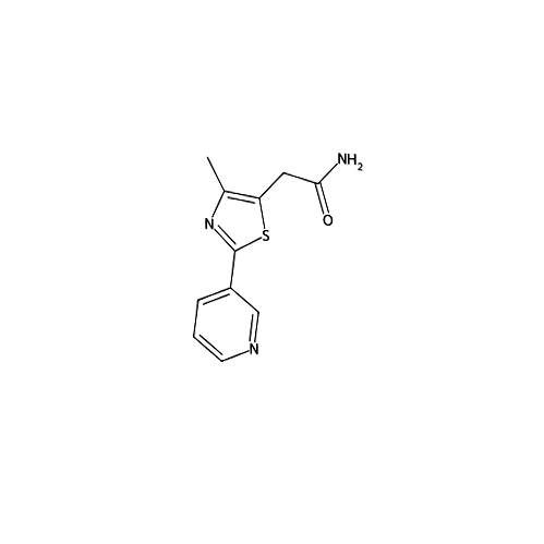 Cc1nc(-c2cccnc2)sc1CC(N)=O